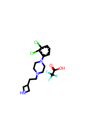 Clc1cccc(N2CCN(CCC3CNC3)CC2)c1Cl.O=C(O)C(F)(F)F